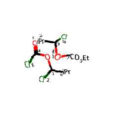 CC(C)C(Cl)OC(=O)Cl.CCOC(=O)OC(Cl)C(C)C